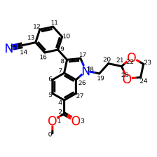 COC(=O)c1ccc2c(-c3cccc(C#N)c3)cn(CCC3OCCO3)c2c1